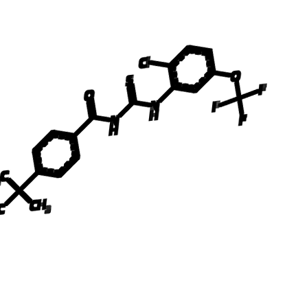 CC(C)(C)c1ccc(C(=O)NC(=S)Nc2cc(OC(F)(F)F)ccc2Cl)cc1